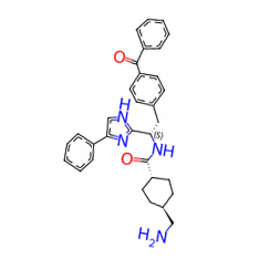 NC[C@H]1CC[C@H](C(=O)N[C@@H](Cc2ccc(C(=O)c3ccccc3)cc2)c2nc(-c3ccccc3)c[nH]2)CC1